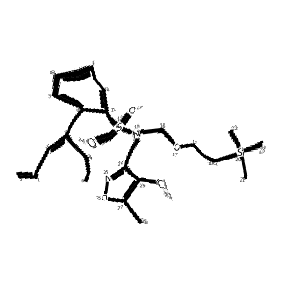 C=C/C=C(\CC)c1ccccc1S(=O)(=O)N(COCC[Si](C)(C)C)c1noc(C)c1Cl